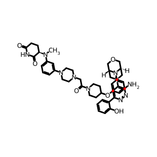 CN(c1cccc(N2CCN(CC(=O)N3CCC(Oc4cccc(N5[C@H]6COC[C@H]5CN(c5cc(-c7ccccc7O)nnc5N)C6)c4)CC3)CC2)c1)[C@@H]1CCC(=O)NC1=O